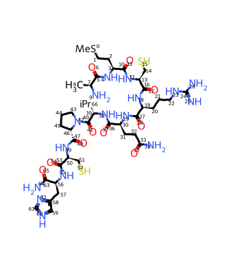 CSCC[C@H](NC(=O)[C@H](C)N)C(=O)N[C@@H](CS)C(=O)N[C@@H](CCCNC(=N)N)C(=O)N[C@@H](CCC(N)=O)C(=O)N[C@H](C(=O)N1CCC[C@H]1C(=O)N[C@@H](CS)C(=O)N[C@@H](Cc1c[nH]cn1)C(N)=O)C(C)C